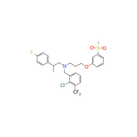 CC(CN(CCCOc1cccc(S(C)(=O)=O)c1)Cc1cccc(C(F)(F)F)c1Cl)c1ccc(F)cc1